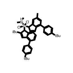 CCC(C)C1=Cc2c(-c3ccc(C(C)(C)C)cc3)cccc2[CH]1[Zr]([Cl])([Cl])([CH]1C(C)=Cc2c(-c3ccc(C(C)(C)C)cc3)cc(C)cc21)[SiH](C)C